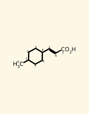 CC1CCC(/C=C/C(=O)O)CC1